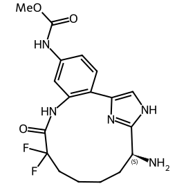 COC(=O)Nc1ccc2c(c1)NC(=O)C(F)(F)CCCC[C@H](N)c1nc-2c[nH]1